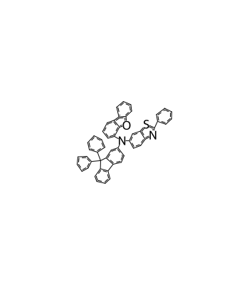 c1ccc(-c2nc3ccc(N(c4ccc5c(c4)C(c4ccccc4)(c4ccccc4)c4ccccc4-5)c4cccc5c4oc4ccccc45)cc3s2)cc1